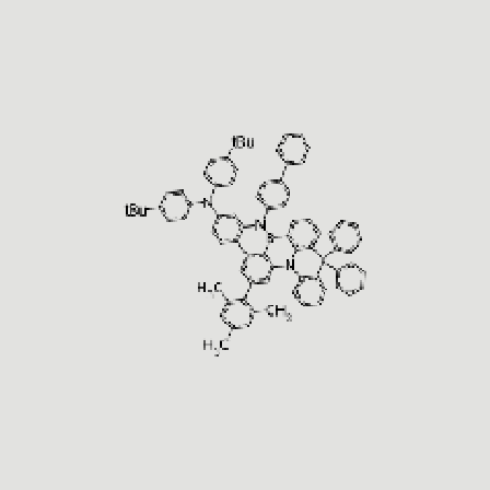 Cc1cc(C)c(-c2cc3c4c(c2)N2c5ccccc5C(c5ccccc5)(c5ccccc5)c5cccc(c52)B4N(c2ccc(-c4ccccc4)cc2)c2cc(N(c4ccc(C(C)(C)C)cc4)c4ccc(C(C)(C)C)cc4)ccc2-3)c(C)c1